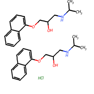 CC(C)NCC(O)COc1cccc2ccccc12.CC(C)NCC(O)COc1cccc2ccccc12.Cl